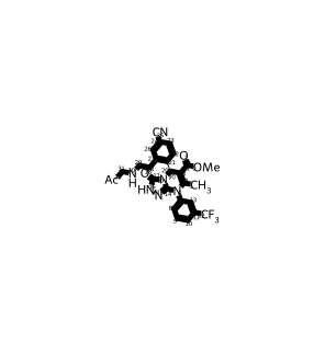 COC(=O)C1=C(C)N(c2cccc(C(F)(F)F)c2)c2n[nH]c(=O)n2[C@@H]1c1ccc(C#N)cc1CCNCC(C)=O